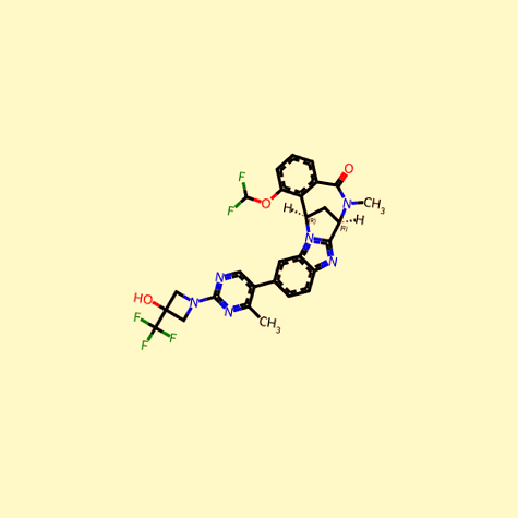 Cc1nc(N2CC(O)(C(F)(F)F)C2)ncc1-c1ccc2nc3n(c2c1)[C@@H]1C[C@H]3N(C)C(=O)c2cccc(OC(F)F)c21